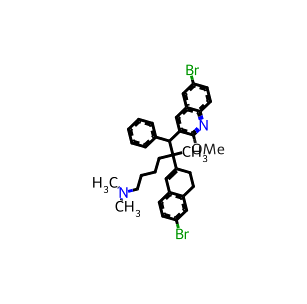 COc1nc2ccc(Br)cc2cc1C(c1ccccc1)C(C)(CCCCN(C)C)C1=Cc2ccc(Br)cc2CC1